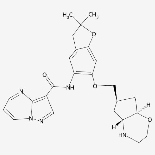 CC1(C)Cc2cc(NC(=O)c3cnn4cccnc34)c(OC[C@@H]3C[C@H]4NCCO[C@@H]4C3)cc2O1